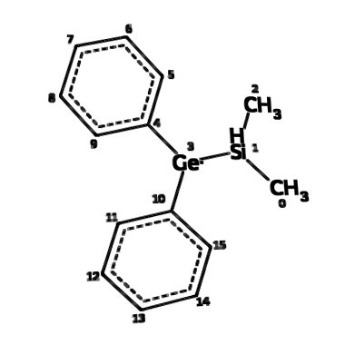 C[SiH](C)[Ge]([c]1ccccc1)[c]1ccccc1